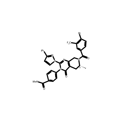 CNC(=O)c1ccc(-n2c(-n3ccc(C(C)C)n3)nc3c(c2=O)C[C@@H](C)N(C(=O)c2ccc(Br)c(C(F)(F)F)c2)C3)cc1